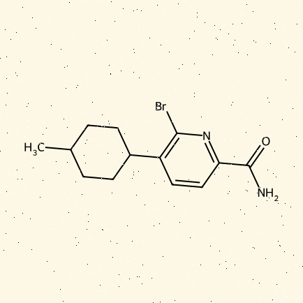 CC1CCC(c2ccc(C(N)=O)nc2Br)CC1